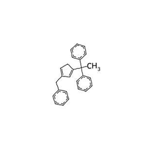 CC(C1=CC(Cc2ccccc2)=CC1)(c1ccccc1)c1ccccc1